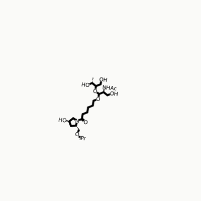 CC(=O)N[C@@H](CO)C(OCCCCCC(=O)N1C[C@H](O)C[C@H]1COC(C)C)OC(CO)[C@@H](C)O